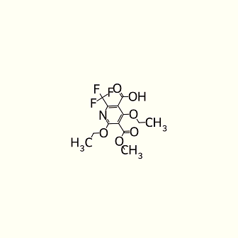 CCOc1nc(C(F)(F)F)c(C(=O)O)c(OCC)c1C(=O)OC